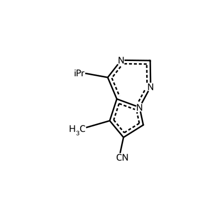 Cc1c(C#N)cn2ncnc(C(C)C)c12